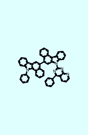 c1ccc(-c2nc(-n3c4ccccc4c4c5ccccc5c(-c5cc6c7ccccc7n(-c7ccccc7)c6c6ccccc56)cc43)nc3ncccc23)cc1